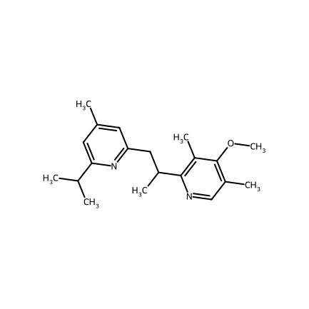 COc1c(C)cnc(C(C)Cc2cc(C)cc(C(C)C)n2)c1C